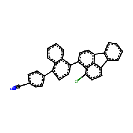 N#Cc1ccc(-c2ccc(-c3ccc4c5c(ccc(Cl)c35)-c3ccccc3-4)c3ccccc23)cc1